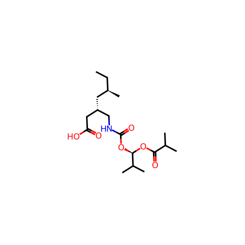 CC[C@@H](C)C[C@H](CNC(=O)O[C@@H](OC(=O)C(C)C)C(C)C)CC(=O)O